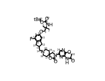 CC(C)(COc1cc(F)c2c(c1)CC(CN1CCC3(CC1)CN(c1cnc4c(n1)NC(=O)CO4)C(=O)O3)C2)NC(=O)OC(C)(C)C